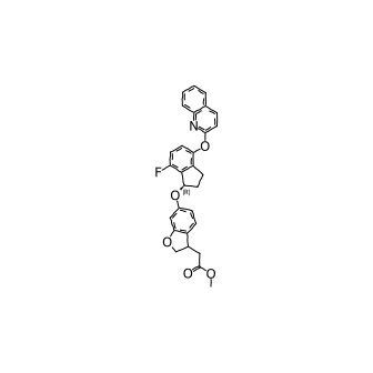 COC(=O)CC1COc2cc(O[C@@H]3CCc4c(Oc5ccc6ccccc6n5)ccc(F)c43)ccc21